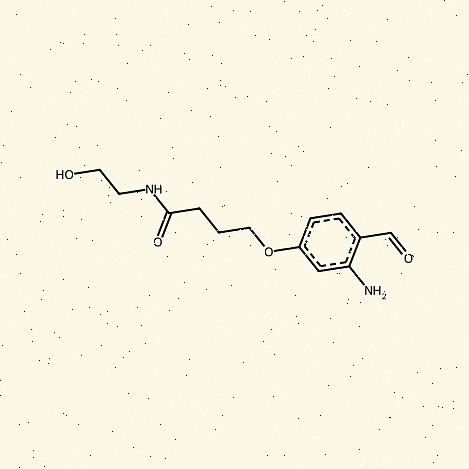 Nc1cc(OCCCC(=O)NCCO)ccc1C=O